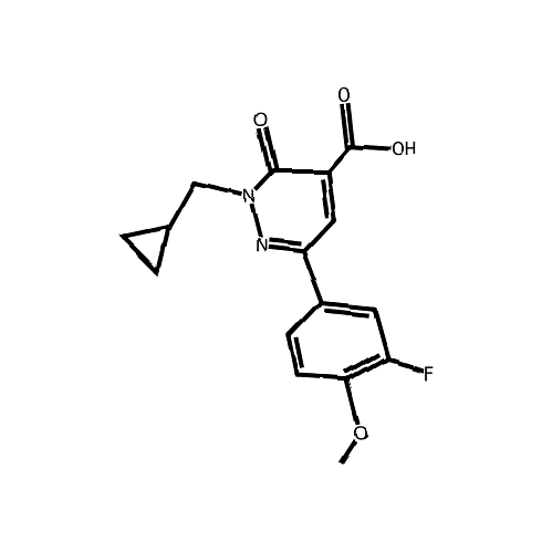 COc1ccc(-c2cc(C(=O)O)c(=O)n(CC3CC3)n2)cc1F